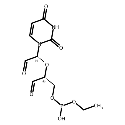 CCOP(O)OC[C@H](C=O)O[C@H](C=O)n1ccc(=O)[nH]c1=O